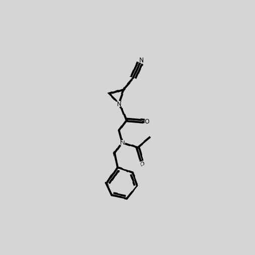 CC(=O)N(CC(=O)N1CC1C#N)Cc1ccccc1